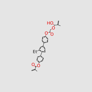 C=C(C)C(=O)Oc1ccc(-c2ccc(-c3ccc(OC(=O)COC(O)C(=C)C)cc3)cc2CC)cc1